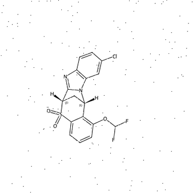 O=S1(=O)c2cccc(OC(F)F)c2[C@@H]2C[C@H]1c1nc3ccc(Cl)cc3n12